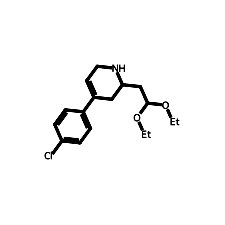 CCOC(CC1CC(c2ccc(Cl)cc2)=CCN1)OCC